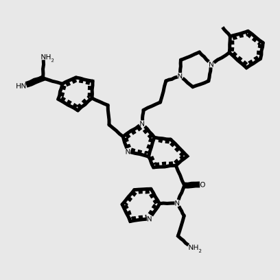 Cc1ccccc1N1CCN(CCCn2c(CCc3ccc(C(=N)N)cc3)nc3cc(C(=O)N(CCN)c4ccccn4)ccc32)CC1